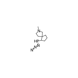 CN1CCC2(CCCC2PN=[N+]=[N-])C1